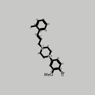 COc1cc(N2CCN(C/C=C/c3ccccc3C)CC2)ccc1Br